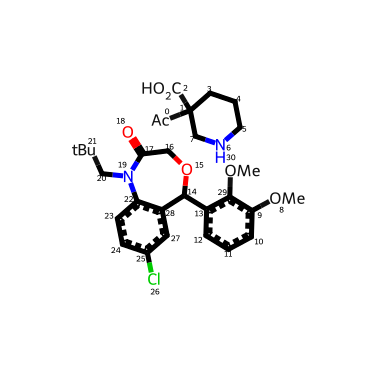 CC(=O)C1(C(=O)O)CCCNC1.COc1cccc(C2OCC(=O)N(CC(C)(C)C)c3ccc(Cl)cc32)c1OC